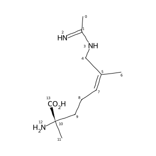 CC(=N)NC/C(C)=C\CC[C@](C)(N)C(=O)O